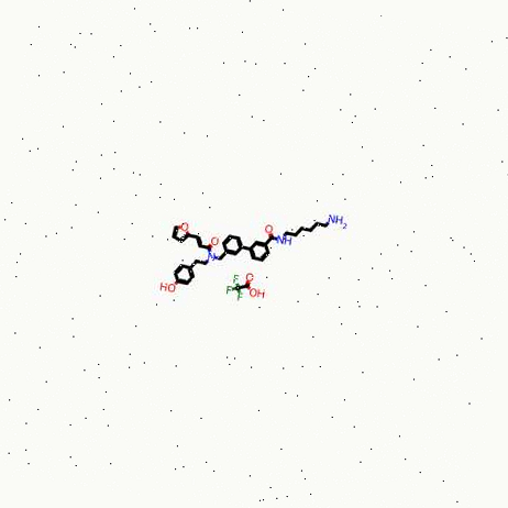 NCCCCCCNC(=O)c1cccc(-c2cccc(CN(CCc3ccc(O)cc3)C(=O)/C=C/c3ccco3)c2)c1.O=C(O)C(F)(F)F